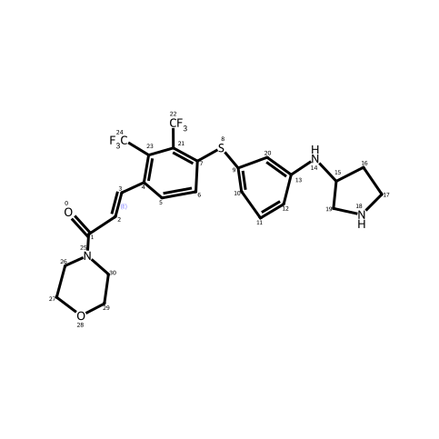 O=C(/C=C/c1ccc(Sc2cccc(NC3CCNC3)c2)c(C(F)(F)F)c1C(F)(F)F)N1CCOCC1